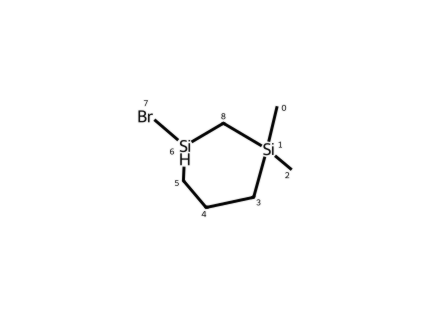 C[Si]1(C)CCC[SiH](Br)C1